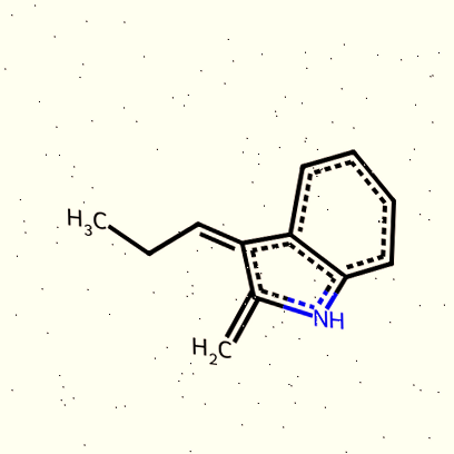 C=c1[nH]c2ccccc2/c1=C/CC